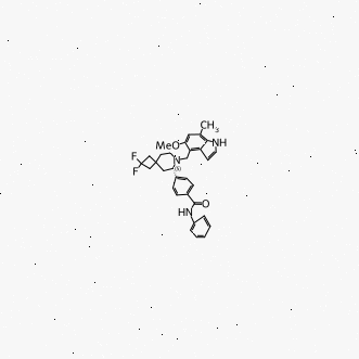 COc1cc(C)c2[nH]ccc2c1CN1CCC2(C[C@H]1c1ccc(C(=O)Nc3ccccc3)cc1)CC(F)(F)C2